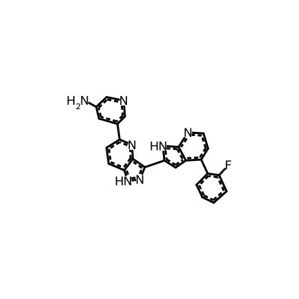 Nc1cncc(-c2ccc3[nH]nc(-c4cc5c(-c6ccccc6F)ccnc5[nH]4)c3n2)c1